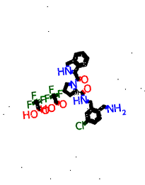 NCc1ccc(Cl)cc1CNC(=O)[C@@H]1CCCN1C(=O)C1NCc2ccccc21.O=C(O)C(F)(F)F.O=C(O)C(F)(F)F